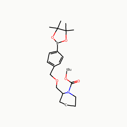 CC(C)(C)OC(=O)N1CCCCC1COCc1ccc(B2OC(C)(C)C(C)(C)O2)cc1